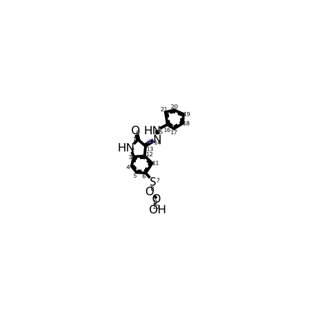 O=C1Nc2ccc(SOOO)cc2/C1=N/Nc1ccccc1